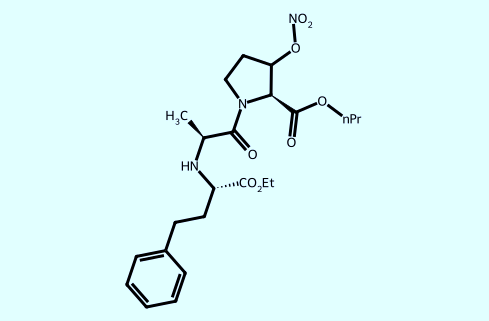 CCCOC(=O)[C@@H]1C(O[N+](=O)[O-])CCN1C(=O)[C@H](C)N[C@@H](CCc1ccccc1)C(=O)OCC